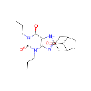 CCCn1c(=O)c2[nH]c(C3C4CCC3CC(=O)C4)nc2n(CCC)c1=O